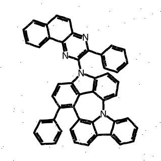 c1ccc(-c2nc3ccc4ccccc4c3nc2-n2c3ccc(-c4ccccc4)c4c5cccc6c7ccccc7n(c7cccc2c7c43)c65)cc1